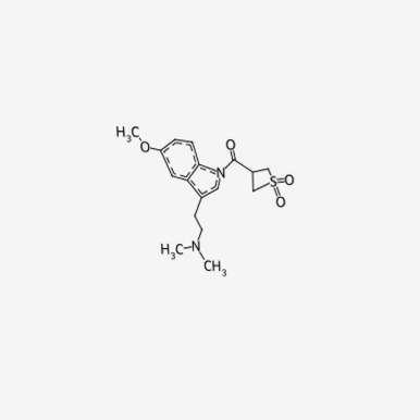 COc1ccc2c(c1)c(CCN(C)C)cn2C(=O)C1CS(=O)(=O)C1